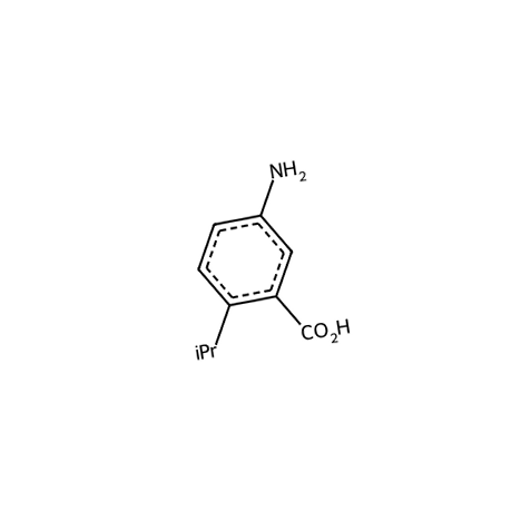 CC(C)c1ccc(N)cc1C(=O)O